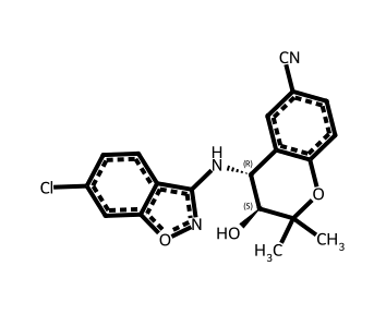 CC1(C)Oc2ccc(C#N)cc2[C@@H](Nc2noc3cc(Cl)ccc23)[C@@H]1O